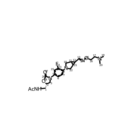 CC(=O)NC[C@H]1CN(c2ccc(N3CC4C(C=NOCCN(C)C)C4C3)c(F)c2)C(=O)O1